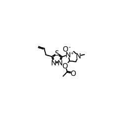 C=CCc1nnc([N+]2([O-])CN(C)CC2OC(C)=O)s1